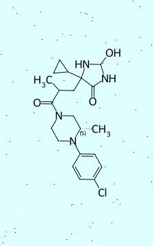 CC(CC1(C2CC2)NC(O)NC1=O)C(=O)N1CCN(c2ccc(Cl)cc2)[C@@H](C)C1